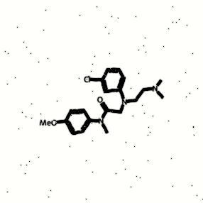 COc1ccc(N(C)C(=O)CN(CCN(C)C)c2cccc(Cl)c2)cc1